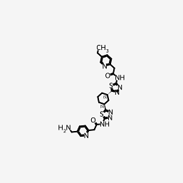 CCc1ccc(CC(=O)Nc2nnc([C@H]3CCC[C@H](c4nnc(NC(=O)Cc5ccc(CN)cn5)s4)C3)s2)nc1